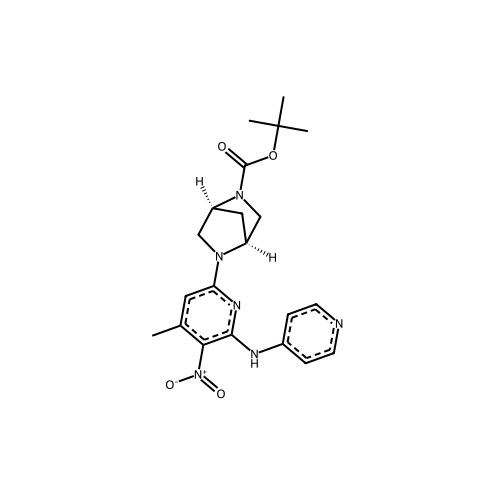 Cc1cc(N2C[C@@H]3C[C@H]2CN3C(=O)OC(C)(C)C)nc(Nc2ccncc2)c1[N+](=O)[O-]